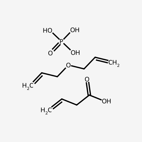 C=CCC(=O)O.C=CCOCC=C.O=P(O)(O)O